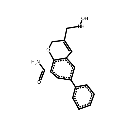 NC=O.ONCC1=Cc2cc(-c3ccccc3)ccc2OC1